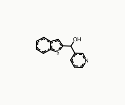 OC(c1cccnc1)c1cc2ccccc2s1